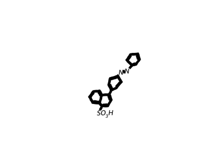 O=S(=O)(O)c1ccc(-c2ccc(N=Nc3ccccc3)cc2)c2ccccc12